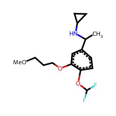 COCCCOc1cc(C(C)NC2CC2)ccc1OC(F)F